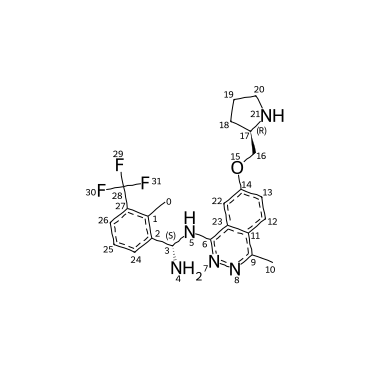 Cc1c([C@@H](N)Nc2nnc(C)c3ccc(OC[C@H]4CCCN4)cc23)cccc1C(F)(F)F